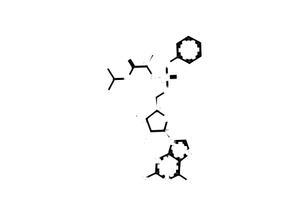 CC(C)OC(=O)[C@@H](C)N[P@](=O)(OC[C@H]1O[C@@H](n2cnc3c(N)nc(N)nc32)[C@H](N)[C@@H]1O)Oc1ccccc1